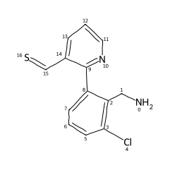 NCc1c(Cl)cccc1-c1ncccc1C=S